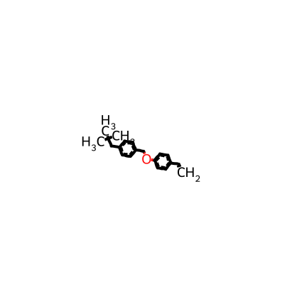 C=Cc1ccc(OCc2ccc(CC(C)(C)C)cc2)cc1